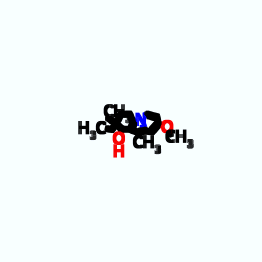 CCC1(CC)CCc2c(c(C)c3cc(OC)ccn23)C1O